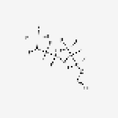 C=COC(F)(F)C(F)(OC(F)(F)C(F)(F)C(F)C(F)(F)F)C(F)(F)F